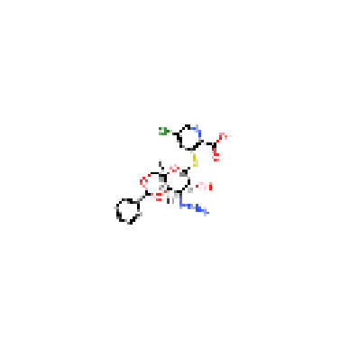 [N-]=[N+]=N[C@@H]1[C@@H](O)[C@@H](Sc2cc(Cl)cnc2C(=O)O)O[C@@H]2COC(c3ccccc3)O[C@H]12